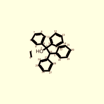 CC.OC(c1ccccc1)(c1ccccc1)C(c1ccccc1)c1ccccc1